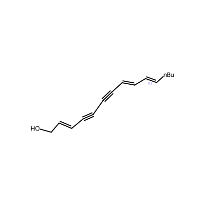 CCCC/C=C/C=CC#CC#CC=CCO